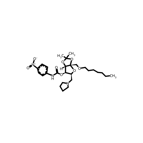 CCCCCCCOC[C@@]12O[C@@H](CN3CCCC3)[C@@H](OC(=O)Nc3ccc([N+](=O)[O-])cc3)[C@@H]1OC(C)(C)O2